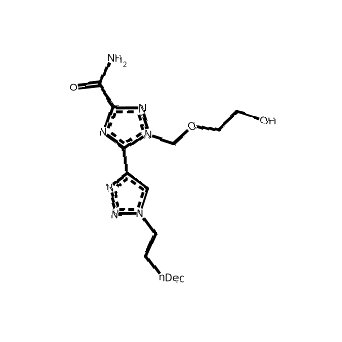 CCCCCCCCCCCCn1cc(-c2nc(C(N)=O)nn2COCCO)nn1